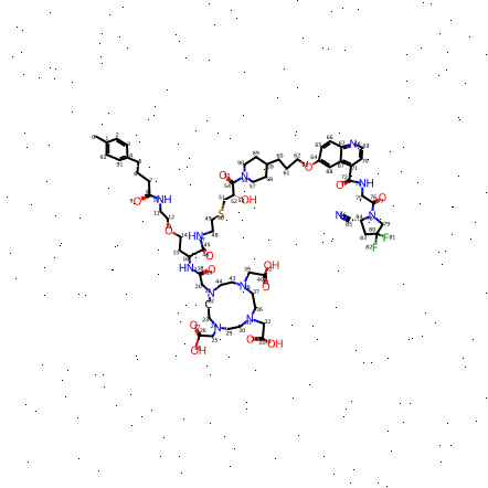 Cc1ccc(CCCC(=O)NCCOCCC(NC(=O)CN2CCN(CC(=O)O)CCN(CC(=O)O)CCN(CC(=O)O)CC2)C(=O)NCCSC[C@@H](O)C(=O)N2CCC(CCCOc3ccc4nccc(C(=O)NCC(=O)N5CC(F)(F)C[C@@H]5C#N)c4c3)CC2)cc1